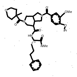 CNC(=O)[C@H](CCCc1ccccc1)NC(=O)C1CN(C(=O)C2(C)CCOCC2)CC2CN(C(=O)c3ccc(OC(C)C)c(OC)c3)CC21